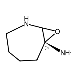 [NH][C@@]12CCCCNC1O2